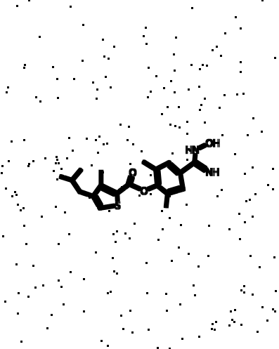 Cc1cc(C(=N)NO)cc(C)c1OC(=O)c1scc(CC(C)C)c1C